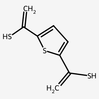 C=C(S)c1ccc(C(=C)S)s1